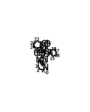 Cc1ccn2nc(S(=O)(=O)N(C(=O)c3ccccc3)c3c(Cl)cccc3Cl)nc2n1